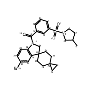 CC1CCN(S(=O)(=O)c2cccc(C(=O)N3CC4(CCC5(CC5)CC4)c4cc(Br)ccc43)c2)C1